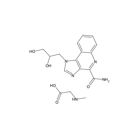 CNCC(=O)O.NC(=O)c1nc2ccccc2c2c1ncn2CC(O)CO